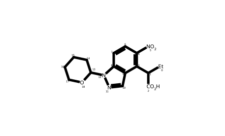 CCC(C(=O)O)c1c([N+](=O)[O-])ccc2c1cnn2C1CCCCO1